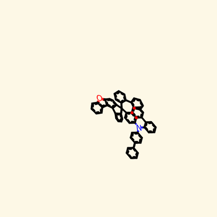 c1ccc(-c2ccc(N(c3ccc4c(c3)-c3ccccc3-c3ccccc3C43c4ccccc4-c4c3ccc3oc5ccccc5c43)c3ccccc3-c3ccccc3)cc2)cc1